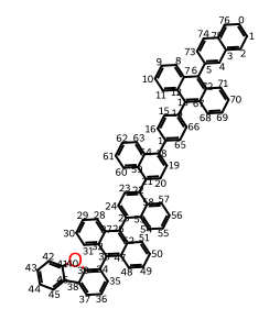 c1ccc2cc(-c3c4ccccc4c(-c4ccc(-c5ccc(-c6ccc(-c7c8ccccc8c(-c8cccc9c8oc8ccccc89)c8ccccc78)c7ccccc67)c6ccccc56)cc4)c4ccccc34)ccc2c1